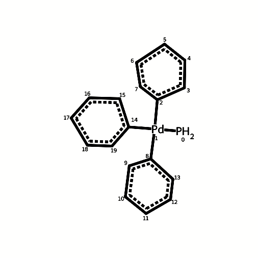 [PH2][Pd]([c]1ccccc1)([c]1ccccc1)[c]1ccccc1